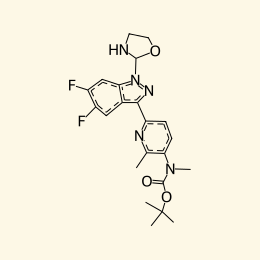 Cc1nc(-c2nn(C3NCCO3)c3cc(F)c(F)cc23)ccc1N(C)C(=O)OC(C)(C)C